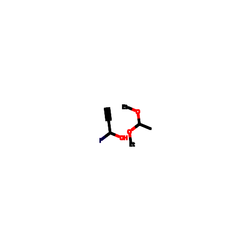 C#CC(O)I.CCOC(C)OCC